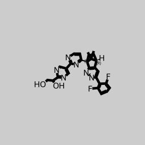 CC1(C)[C@H]2CC[C@@]1(c1ccnc(-c3cnc(C(O)CO)nc3)n1)c1nnc(-c3c(F)cccc3F)cc12